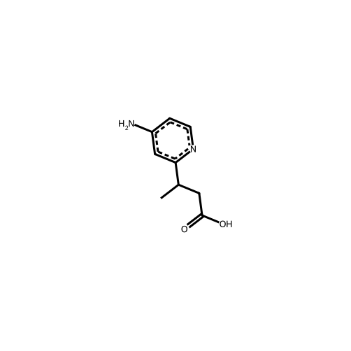 CC(CC(=O)O)c1cc(N)ccn1